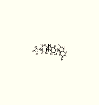 Cc1nc2ccc(F)cc2n1-c1ccc2c(c1)nc1n2CCN(C2CCC2)CC1